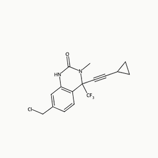 CN1C(=O)Nc2cc(CCl)ccc2C1(C#CC1CC1)C(F)(F)F